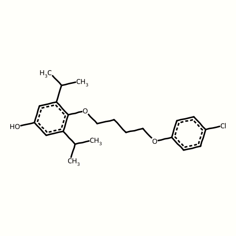 CC(C)c1cc(O)cc(C(C)C)c1OCCCCOc1ccc(Cl)cc1